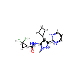 Cn1nc(-c2ncccn2)c(C2CCC2)c1NC(=O)[C@H]1CC1(F)F